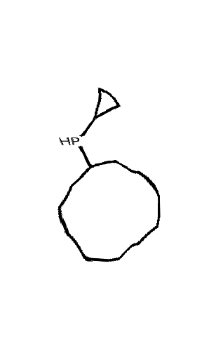 C1CCCCCC(PC2CC2)CCCC1